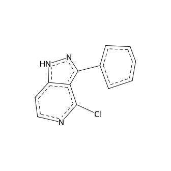 Clc1nccc2[nH]nc(-c3ccccc3)c12